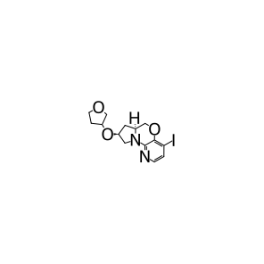 Ic1ccnc2c1OC[C@@H]1C[C@H](OC3CCOC3)CN21